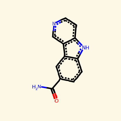 NC(=O)c1ccc2[nH]c3ccncc3c2c1